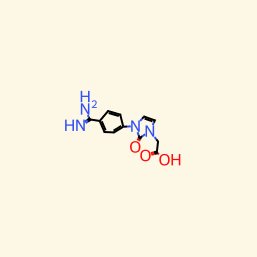 N=C(N)c1ccc(-n2ccn(CC(=O)O)c2=O)cc1